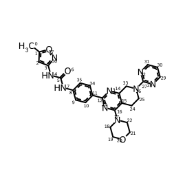 Cc1cc(NC(=O)Nc2ccc(-c3nc4c(c(N5CCOCC5)n3)CCN(c3ncccn3)C4)cc2)no1